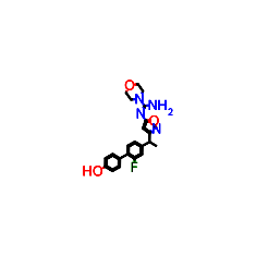 CC(c1ccc(-c2ccc(O)cc2)c(F)c1)c1cc(/N=C(\N)N2CCOCC2)on1